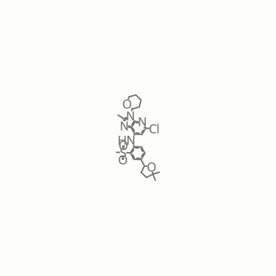 Cc1nc2c(Nc3ccc(C4CCC(C)(C)O4)cc3S(C)(=O)=O)cc(Cl)nc2n1C1CCCCO1